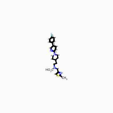 Cc1nc(CN(CCC2CCN(c3ccc(-c4ccc(F)cc4)cn3)CC2)C(=O)O)cs1